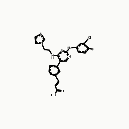 O=C(O)/C=C/c1cccc(-c2cnc(Nc3ccc(F)c(Cl)c3)nc2NCCn2ccnc2)c1